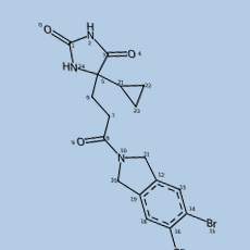 O=C1NC(=O)C(CCC(=O)N2Cc3cc(Br)c(C(F)(F)F)cc3C2)(C2CC2)N1